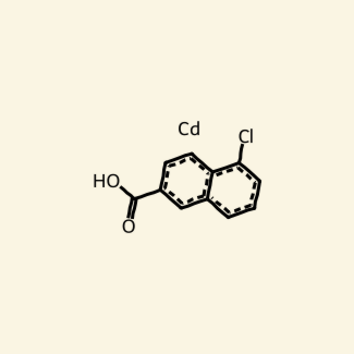 O=C(O)c1ccc2c(Cl)cccc2c1.[Cd]